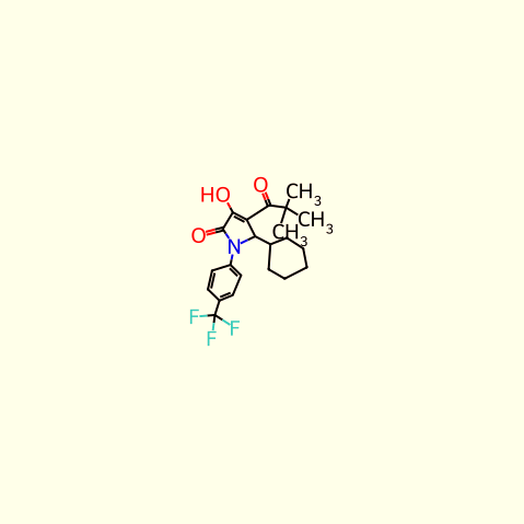 CC(C)(C)C(=O)C1=C(O)C(=O)N(c2ccc(C(F)(F)F)cc2)C1C1CCCCC1